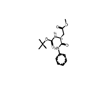 COC(=O)C[C@H](NC(=O)OC(C)(C)C)C(=O)Nc1ccccc1